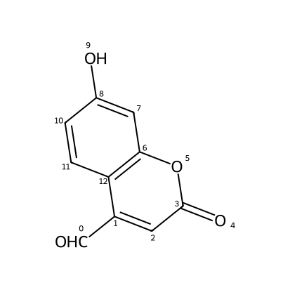 O=Cc1cc(=O)oc2cc(O)ccc12